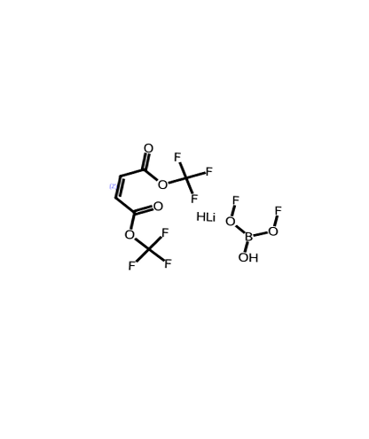 O=C(/C=C\C(=O)OC(F)(F)F)OC(F)(F)F.OB(OF)OF.[LiH]